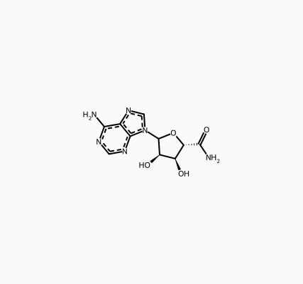 NC(=O)[C@H]1OC(n2cnc3c(N)ncnc32)[C@H](O)[C@@H]1O